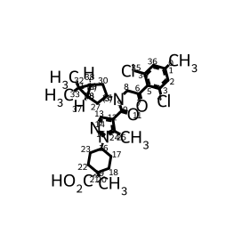 Cc1cc(Cl)c(C(=O)CN(C(=O)c2cnn([C@H]3CC[C@](C)(C(=O)O)CC3)c2C)[C@@H]2C[C@@H]3[C@H](C2)C3(C)C)c(Cl)c1